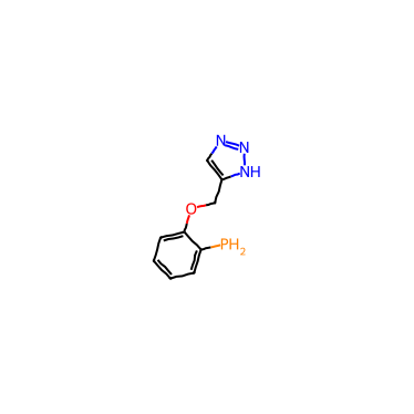 Pc1ccccc1OCc1cnn[nH]1